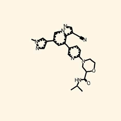 CC(C)NC(=O)C1CN(c2ccc(-c3cc(-c4cnn(C)c4)cn4ncc(C#N)c34)cn2)CCO1